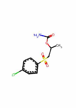 CC(CS(=O)(=O)c1ccc(Cl)cc1)OC(N)=O